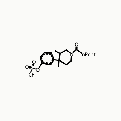 CCCCCC(=O)N1CCC(C)(c2cccc(OS(=O)(=O)C(F)(F)F)c2)C(C)C1